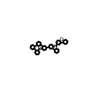 c1ccc2c(c1)-c1ccccc1-n1c3ccc(-c4ccc5c(c4)c4ccccc4n5-c4ccc5oc6ccccc6c5c4)cc3c3cccc-2c31